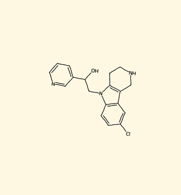 OC(Cn1c2c(c3cc(Cl)ccc31)CNCC2)c1cccnc1